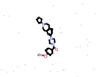 CC(C)Oc1ccc(C(=O)N2CCN(c3ccc4c(c3)CCN(C3CCCC3)CC4)CC2)cc1